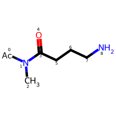 CC(=O)N(C)C(=O)CCCN